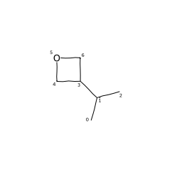 C[C](C)C1COC1